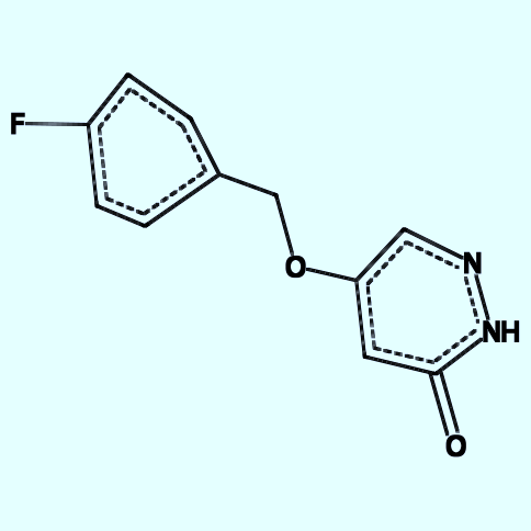 O=c1cc(OCc2ccc(F)cc2)cn[nH]1